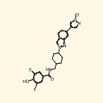 CCn1cc(-c2ccc3cn(C4CCC(CNC(=O)c5cc(F)c(O)c(F)c5)CC4)nc3c2)cn1